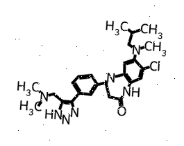 CC(C)CN(C)c1cc2c(cc1Cl)NC(=O)CC(c1cccc(-c3nn[nH]c3CN(C)C)c1)=N2